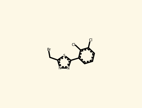 Clc1cccc(-c2nnc(CBr)s2)c1Cl